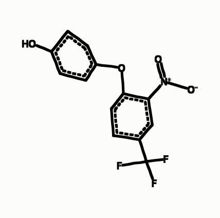 O=[N+]([O-])c1cc(C(F)(F)F)ccc1Oc1ccc(O)cc1